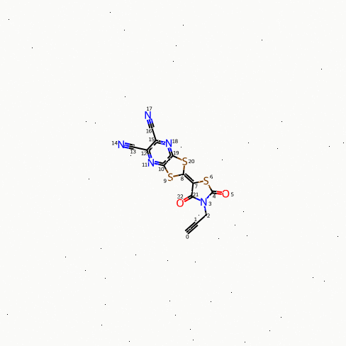 C#CCN1C(=O)SC(=C2Sc3nc(C#N)c(C#N)nc3S2)C1=O